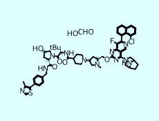 Cc1ncsc1-c1ccc(CNC(=O)[C@@H]2C[C@@H](O)CN2C(=O)[C@@H](NC(=O)C2CCN([C@H]3C[C@@H](COc4nc(N5CC6CCC(C5)N6)c5cnc(-c6cccc7cccc(Cl)c67)c(F)c5n4)N(C)C3)CC2)C(C)(C)C)cc1.O=CO